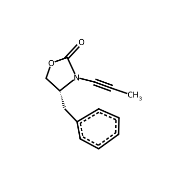 CC#CN1C(=O)OC[C@H]1Cc1ccccc1